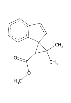 COC(=O)C1C(C)(C)C12C=Cc1ccccc12